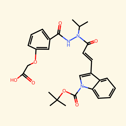 CC(C)N(NC(=O)c1cccc(OCC(=O)O)c1)C(=O)C=Cc1cn(C(=O)OC(C)(C)C)c2ccccc12